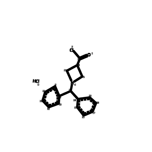 Cl.O=C(Cl)C1CN(C(c2ccccc2)c2ccccc2)C1